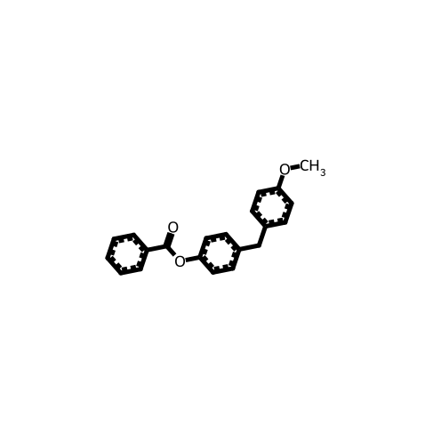 COc1ccc(Cc2ccc(OC(=O)c3ccccc3)cc2)cc1